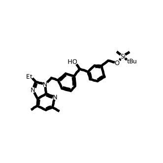 CCc1nc2c(C)cc(C)nc2n1Cc1cccc(C(O)c2cccc(CO[Si](C)(C)C(C)(C)C)c2)c1